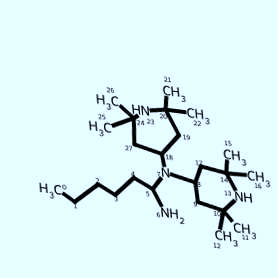 CCCCCC(N)N(C1CC(C)(C)NC(C)(C)C1)C1CC(C)(C)NC(C)(C)C1